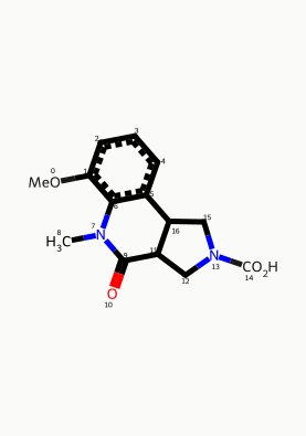 COc1cccc2c1N(C)C(=O)C1CN(C(=O)O)CC21